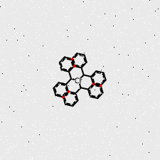 c1ccc([CH](c2ccccc2)[Cr]([CH](c2ccccc2)c2ccccc2)[CH](c2ccccc2)c2ccccc2)cc1